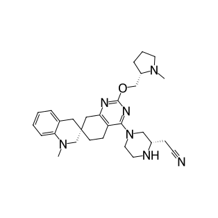 CN1C[C@]2(CCc3c(nc(OC[C@@H]4CCCN4C)nc3N3CCN[C@@H](CC#N)C3)C2)Cc2ccccc21